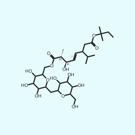 CCC(C)(C)OC(=O)CC(/C=C/[C@@H](O)[C@@H](C)C(=O)OCC1OC(CC2OC(CO)C(O)C(O)C2O)C(O)C(O)C1O)C(C)C